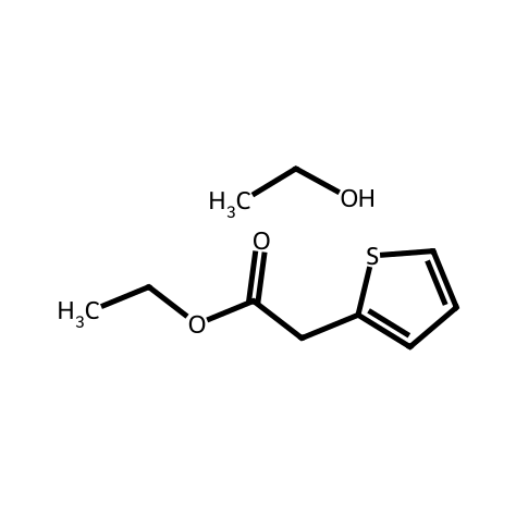 CCO.CCOC(=O)Cc1cccs1